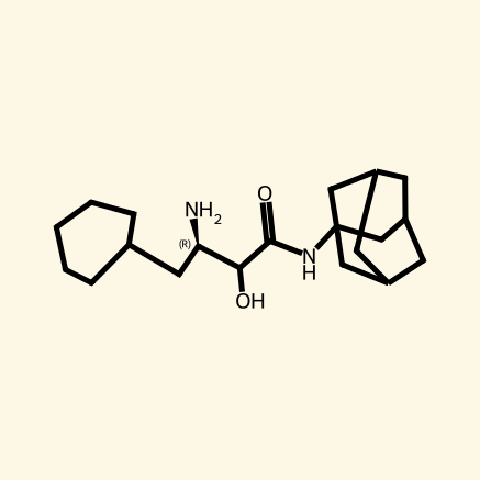 N[C@H](CC1CCCCC1)C(O)C(=O)NC12CC3CC(CC(C3)C1)C2